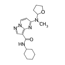 CN(c1ccn2ncc(C(=O)NC3CCCCC3)c2n1)C1CCCO1